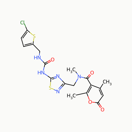 Cc1cc(=O)oc(C)c1C(=O)N(C)Cc1nsc(NC(=O)NCc2ccc(Cl)s2)n1